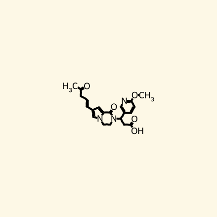 COc1ccc(C(CC(=O)O)N2CCn3cc(C=CCC(C)=O)cc3C2=O)cn1